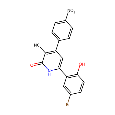 N#Cc1c(-c2ccc([N+](=O)[O-])cc2)cc(-c2cc(Br)ccc2O)[nH]c1=O